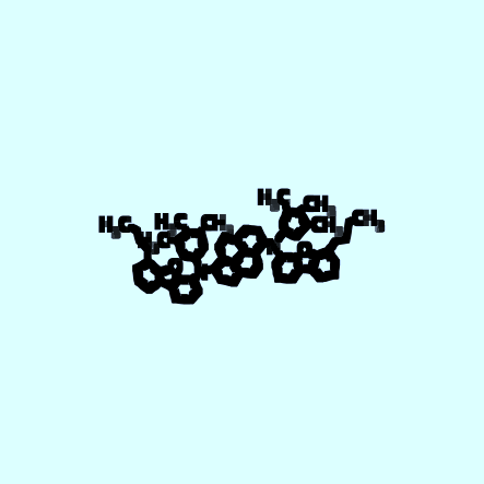 CCCCc1cccc2c1oc1c(N(c3cc(C)c(C)c(C)c3)c3ccc4ccc5c(N(c6cc(C)c(C)c(C)c6)c6cccc7c6oc6c(CCCC)cccc67)ccc6ccc3c4c65)cccc12